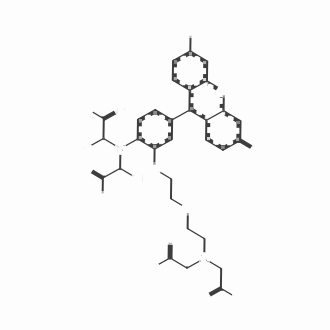 CC(C(=O)O)N(c1ccc(-c2c3ccc(=O)cc-3oc3cc(O)ccc23)cc1OCCOCCN(CC(=O)O)CC(=O)O)C(C)C(=O)O